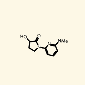 CNc1cccc(N2CCC(O)C2=O)n1